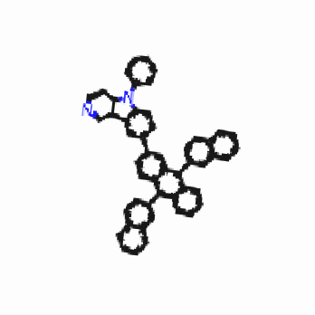 C1=CC2C(C=N1)c1cc(-c3ccc4c(-c5ccc6ccccc6c5)c5ccccc5c(-c5ccc6ccccc6c5)c4c3)ccc1N2c1ccccc1